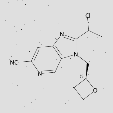 CC(Cl)c1nc2cc(C#N)ncc2n1C[C@@H]1CCO1